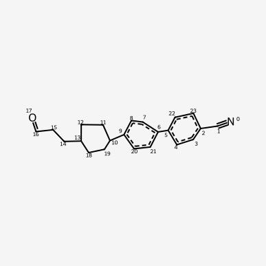 N#Cc1ccc(-c2ccc(C3CCC(CCC=O)CC3)cc2)cc1